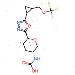 O=C(O)N[C@@H]1CC[C@@H](c2nnc(C3CC3COC(F)(F)F)o2)OC1